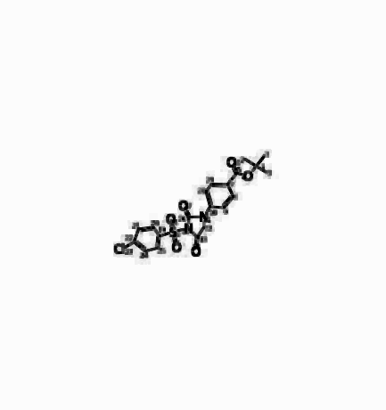 CC(C)(C)OC(=O)c1ccc(N2CC(=O)N(S(=O)(=O)c3ccc(Cl)cc3)C2=O)cc1